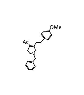 COc1ccc(CCC2=C(C(C)=O)CCN(Cc3ccccc3)C2)cc1